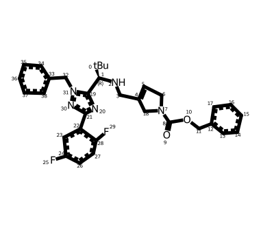 CC(C)(C)[C@@H](NCC1=CCN(C(=O)OCc2ccccc2)C1)c1nc(-c2cc(F)ccc2F)nn1Cc1ccccc1